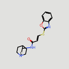 O=C(/C=C/Sc1nc2ccccc2o1)NC1CN2CCC1CC2